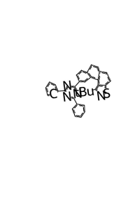 CC(C)(C)c1nsc2ccc3ccc4ccc(-c5nc(-c6ccccc6)nc(-c6ccccc6)n5)cc4c3c12